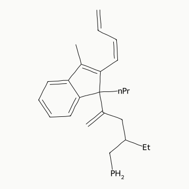 C=C/C=C\C1=C(C)c2ccccc2C1(CCC)C(=C)CC(CC)CP